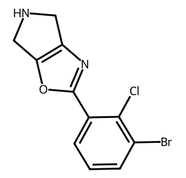 Clc1c(Br)cccc1-c1nc2c(o1)CNC2